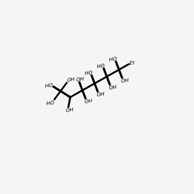 CCC(O)(O)C(O)(O)C(O)(O)C(O)(O)[C](O)C(O)(O)O